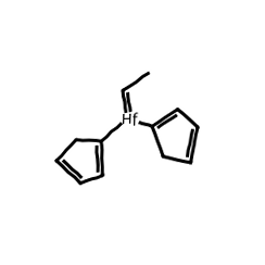 C[CH]=[Hf]([C]1=CC=CC1)[C]1=CC=CC1